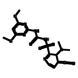 COc1cc(OC)nc(NC(=O)NS(=O)(=O)C2=NC=CC(=C=O)C2N(C)C)n1